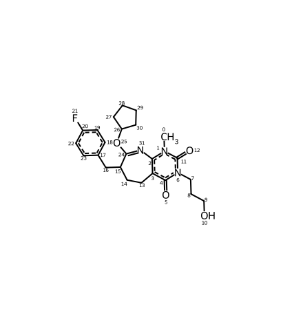 Cn1c2c(c(=O)n(CCCO)c1=O)CCC(Cc1ccc(F)cc1)C(OC1CCCC1)=N2